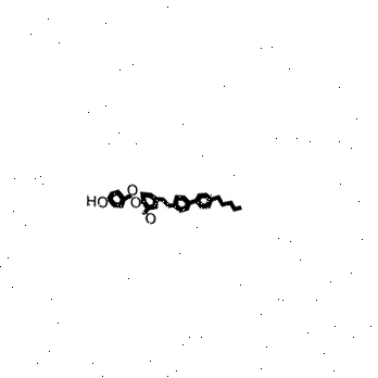 CCCCCc1ccc(-c2ccc(CCc3ccc(OC(=O)c4ccc(O)cc4)c(C=O)c3)cc2)cc1